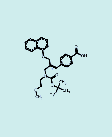 COCCN(C/C(=C/c1ccc(C(=O)O)cc1)COc1cccc2ccccc12)C(=O)OC(C)(C)C